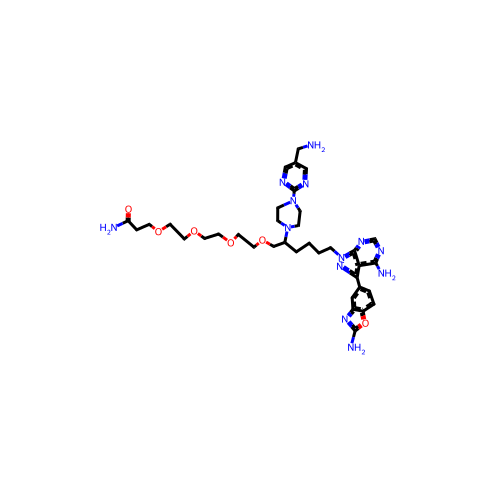 NCc1cnc(N2CCN(C(CCCCn3nc(-c4ccc5oc(N)nc5c4)c4c(N)ncnc43)COCCOCCOCCOCCC(N)=O)CC2)nc1